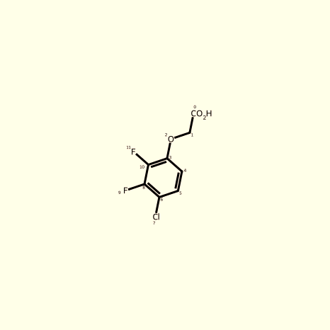 O=C(O)COc1ccc(Cl)c(F)c1F